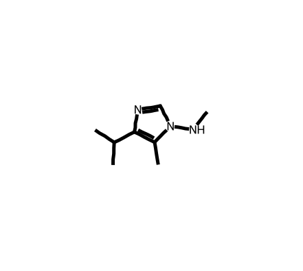 CNn1cnc(C(C)C)c1C